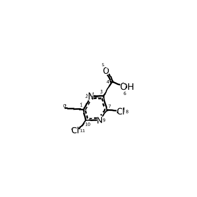 Cc1nc(C(=O)O)c(Cl)nc1Cl